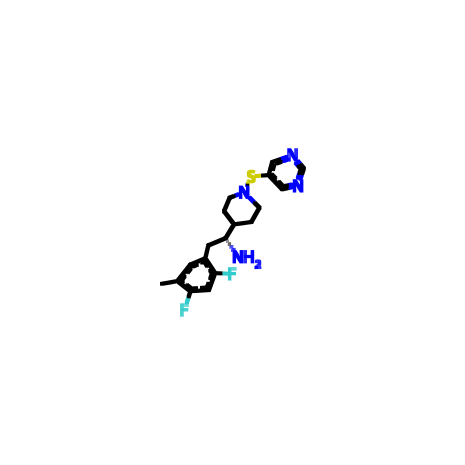 Cc1cc(C[C@@H](N)C2CCN(Sc3cncnc3)CC2)c(F)cc1F